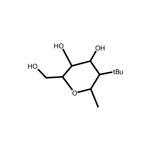 CC1OC(CO)C(O)C(O)C1C(C)(C)C